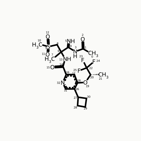 CC(=O)NC(=N)C(C)(CS(C)(=O)=O)NC(=O)c1cc(O[C@@H](C)C(F)(F)F)c(C2CCC2)cn1